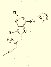 CC#CC[C@H](N)Cc1oc2c(NCc3cccs3)cc(Cl)nc2c1Br